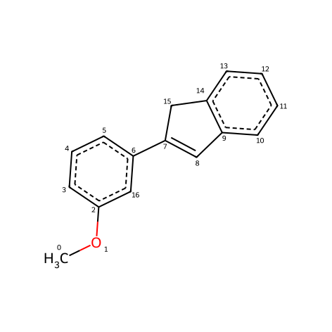 COc1cccc(C2=Cc3ccccc3C2)c1